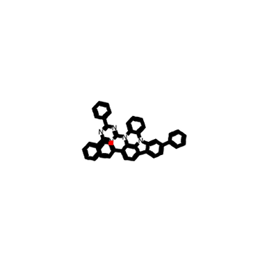 c1ccc(-c2ccc3c4ccc(-c5ccccc5)c5c4n(c3c2)-c2ccccc2N5c2nc(-c3ccccc3)nc(-c3ccccc3)n2)cc1